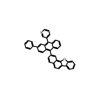 c1ccc(-c2ccc3c(-c4ccc5ccc6c7ccccc7oc6c5c4)c4ccccc4c(-c4cccnc4)c3c2)cc1